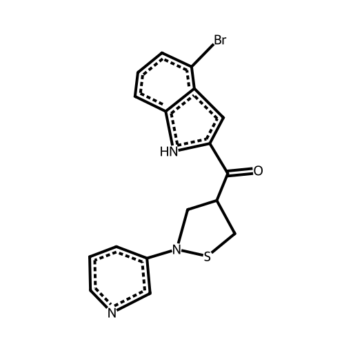 O=C(c1cc2c(Br)cccc2[nH]1)C1CSN(c2cccnc2)C1